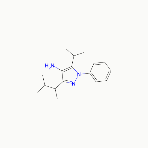 CC(C)c1c(N)c(C(C)C(C)C)nn1-c1ccccc1